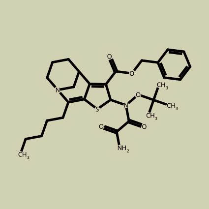 CCCCCC1=C2SC(N(OC(C)(C)C)C(=O)C(N)=O)C(C(=O)OCc3ccccc3)=C2C2CCCN1C2